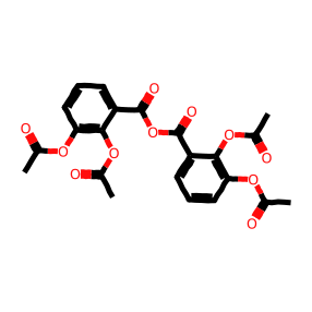 CC(=O)Oc1cccc(C(=O)OC(=O)c2cccc(OC(C)=O)c2OC(C)=O)c1OC(C)=O